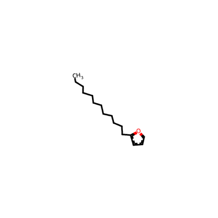 CCCCCCCCCCCCc1ccco1